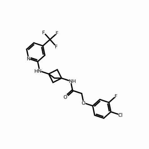 O=C(COc1ccc(Cl)c(F)c1)NC12CC(Nc3cc(C(F)(F)F)ccn3)(C1)C2